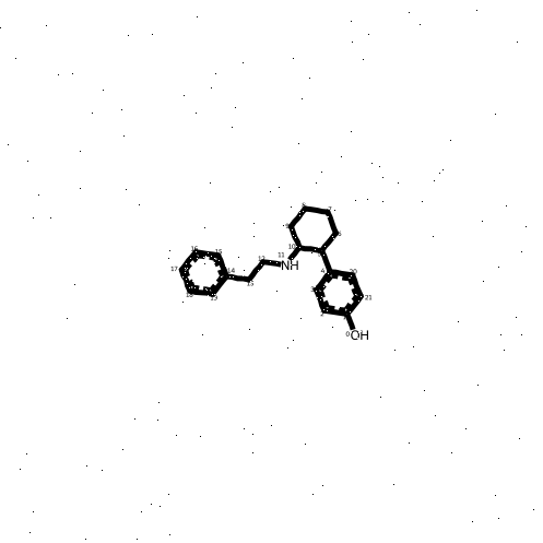 Oc1ccc(C2CCCCC2NCCc2ccccc2)cc1